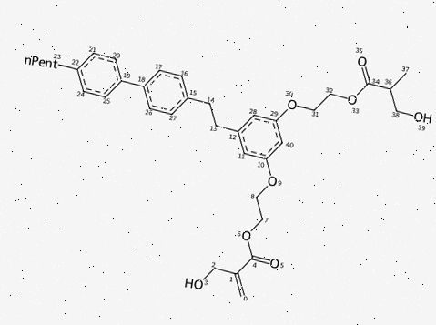 C=C(CO)C(=O)OCCOc1cc(CCc2ccc(-c3ccc(CCCCC)cc3)cc2)cc(OCCOC(=O)C(C)CO)c1